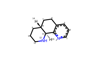 c1cnc2c(c1)CC[C@H]1CCCN[C@H]21